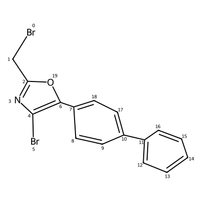 BrCc1nc(Br)c(-c2ccc(-c3ccccc3)cc2)o1